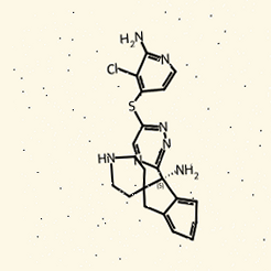 Nc1nccc(Sc2cnc([C@@]3(N)c4ccccc4CC34CCNCC4)nn2)c1Cl